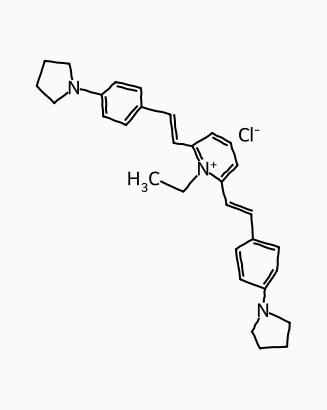 CC[n+]1c(/C=C/c2ccc(N3CCCC3)cc2)cccc1/C=C/c1ccc(N2CCCC2)cc1.[Cl-]